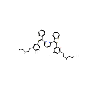 C=CCC(C)CCc1cc(C)cc(-c2sc3ccccc3c2-c2cccc(-c3c(-c4cc(C)cc(CCC(CC)CC=C)c4O)sc4ccccc34)n2)c1O